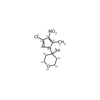 [2H]C1(n2nc(Cl)c([N+](=O)[O-])c2C)CCOCC1